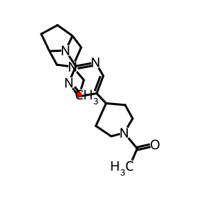 CCN1CC2CCC(C1)N2c1ncc(C2CCN(C(C)=O)CC2)cn1